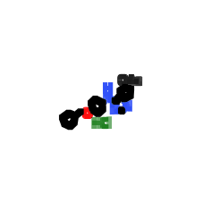 CC(=O)Oc1ccc2ncnc(Nc3ccc(OCc4ccccc4)cc3)c2c1.Cl